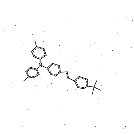 Cc1ccc(N(c2ccc(C)cc2)c2ccc(/C=C/c3ccc(C(C)(C)C)cc3)cc2)cc1